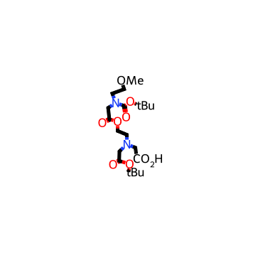 COCCN(CC(=O)OCCN(CC(=O)O)CC(=O)OC(C)(C)C)C(=O)OC(C)(C)C